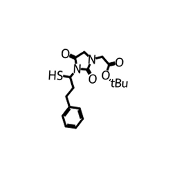 CC(C)(C)OC(=O)CN1CC(=O)N(C(S)CCc2ccccc2)C1=O